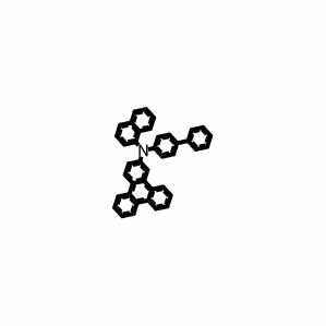 c1ccc(-c2ccc(N(c3ccc4c5ccccc5c5ccccc5c4c3)c3cccc4ccccc34)cc2)cc1